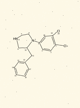 Clc1ccc(N2CCNCC2Cc2ccccc2)cc1Cl